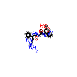 NN=CNCC(CC(=O)NCC(=O)NC(CC(=O)O)c1cccnc1)c1ccccc1